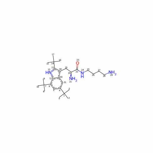 CC(C)(C)c1cc(C(C)(C)C)c2[nH]c(C(C)(C)C)c(C[C@H](N)C(=O)NCCCCN)c2c1